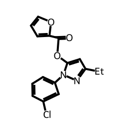 CCc1cc(OC(=O)c2ccco2)n(-c2cccc(Cl)c2)n1